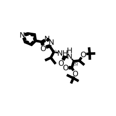 CC(OC(C)(C)C)[C@H](NC(=O)N[C@H](c1nnc(-c2ccncc2)o1)C(C)C)C(=O)OC(C)(C)C